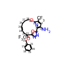 Nc1cc(C(F)(F)F)c2nc1-c1nnc(o1)C(OCc1ccccc1)(C(F)(F)F)CC=CCCCO2